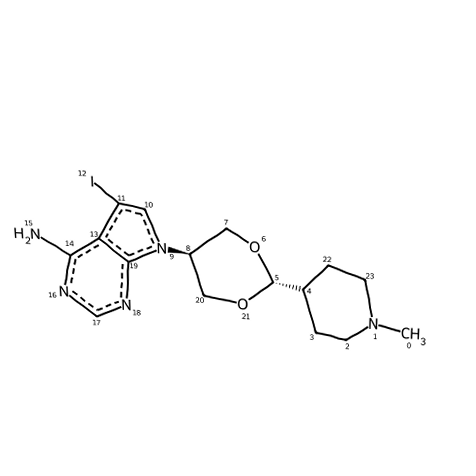 CN1CCC([C@H]2OC[C@H](n3cc(I)c4c(N)ncnc43)CO2)CC1